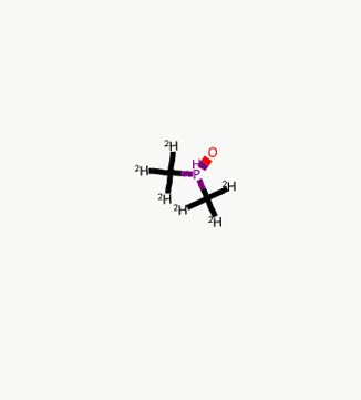 [2H]C([2H])([2H])[PH](=O)C([2H])([2H])[2H]